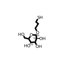 OCC1O[C@H](OCCCS)[C@@H](O)C(O)[C@@H]1O